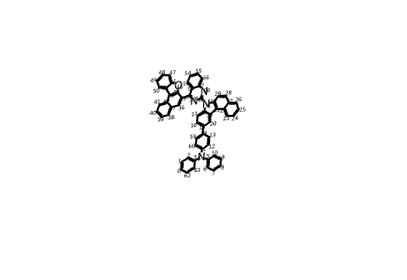 c1ccc(N(c2ccccc2)c2ccc(-c3ccc4c(c3)c3c5ccccc5ccc3n4-c3nc(-c4cc5ccccc5c5c4oc4ccccc45)c4ccccc4n3)cc2)cc1